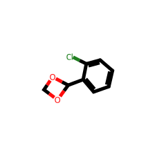 Clc1ccccc1[C]1OCO1